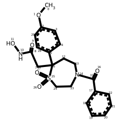 COc1ccc(C2(CC(=O)NO)CCN(C(=O)c3ccccc3)CCS2(=O)=O)cc1